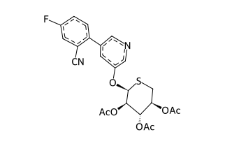 CC(=O)O[C@@H]1[C@@H](OC(C)=O)[C@@H](Oc2cncc(-c3ccc(F)cc3C#N)c2)SC[C@H]1OC(C)=O